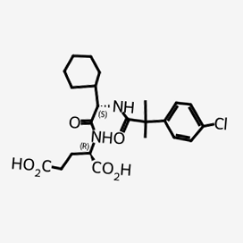 CC(C)(C(=O)N[C@H](C(=O)N[C@H](CCC(=O)O)C(=O)O)C1CCCCC1)c1ccc(Cl)cc1